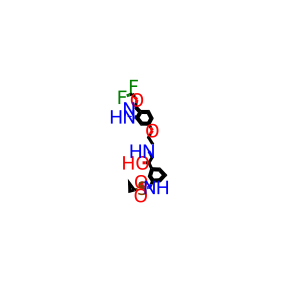 O=S(=O)(Nc1cccc(C(O)CNCCOc2ccc3c(OC(F)F)n[nH]c3c2)c1)C1CC1